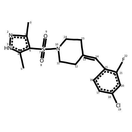 Cc1n[nH]c(C)c1S(=O)(=O)N1CCC(=Cc2ccc(Cl)cc2F)CC1